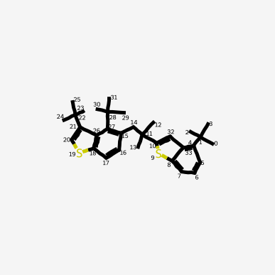 CC(C)(C)c1cccc2sc(C(C)(C)Cc3ccc4scc(C(C)(C)C)c4c3C(C)(C)C)cc12